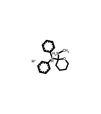 C[SiH2]C1([SiH](c2ccccc2)c2ccccc2)CCCCO1.[H+]